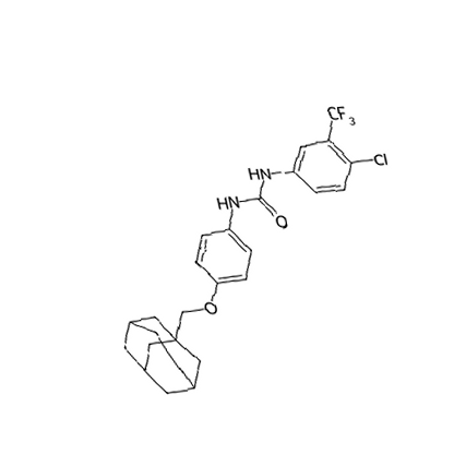 O=C(Nc1ccc(OCC23CC4CC(CC(C4)C2)C3)cc1)Nc1ccc(Cl)c(C(F)(F)F)c1